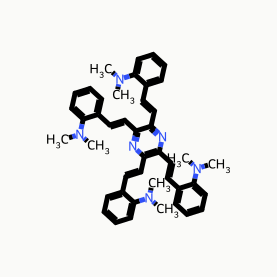 CN(C)c1ccccc1/C=C/c1nc(/C=C/c2ccccc2N(C)C)c(/C=C/c2ccccc2N(C)C)nc1/C=C/c1ccccc1N(C)C